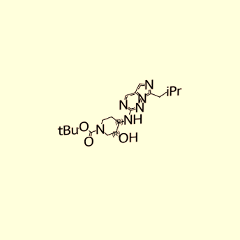 CC(C)Cc1ncc2cnc(N[C@@H]3CCN(C(=O)OC(C)(C)C)C[C@H]3O)nn12